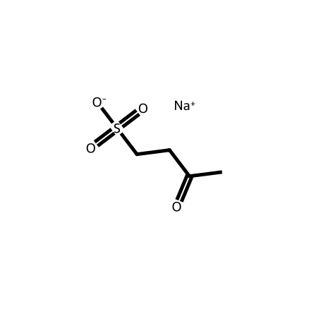 CC(=O)CCS(=O)(=O)[O-].[Na+]